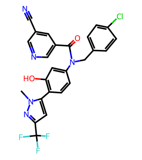 Cn1nc(C(F)(F)F)cc1-c1ccc(N(Cc2ccc(Cl)cc2)C(=O)c2cncc(C#N)c2)cc1O